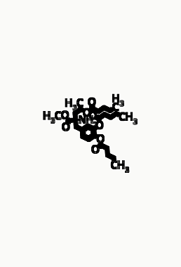 CCCCC(=O)Oc1ccc(C[C@](N)(CC(C)OC(=O)CCCC)C(=O)OC)cc1OC(=O)CCCC